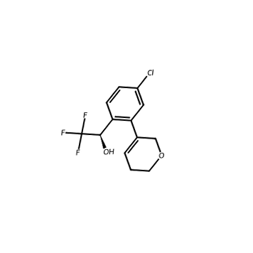 O[C@H](c1ccc(Cl)cc1C1=CCCOC1)C(F)(F)F